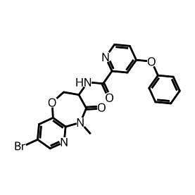 CN1C(=O)C(NC(=O)c2cc(Oc3ccccc3)ccn2)COc2cc(Br)cnc21